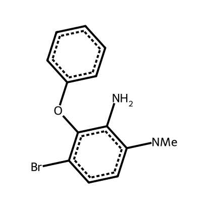 CNc1ccc(Br)c(Oc2ccccc2)c1N